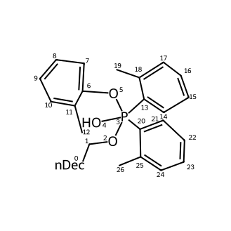 CCCCCCCCCCCOP(O)(Oc1ccccc1C)(c1ccccc1C)c1ccccc1C